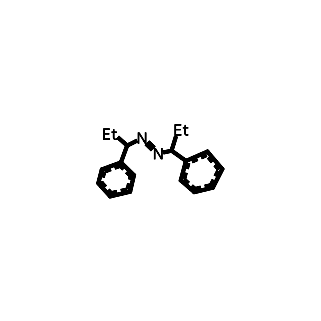 CCC(N=NC(CC)c1ccccc1)c1ccccc1